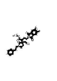 CC(C)CC1(C(CCN2C(=O)c3cc(F)c(F)cc3C2=O)C(=O)OC(C)(C)C)CCN(CCc2ccccc2)C1=O